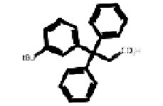 CC(C)(C)c1cccc(C(CC(=O)O)(c2ccccc2)c2ccccc2)c1